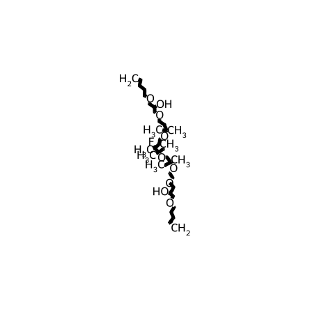 C=CCCCOCC(O)COCCOC(C)(CC)COC(C)(CC)C(C)(F)CCOC(C)(C)CCOCC(O)COCCCC=C